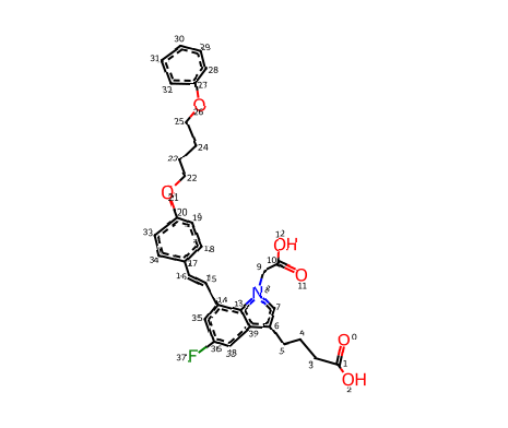 O=C(O)CCCc1cn(CC(=O)O)c2c(C=Cc3ccc(OCCCCOc4ccccc4)cc3)cc(F)cc12